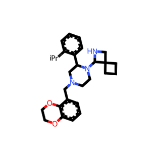 CC(C)c1ccccc1C1CN(Cc2cccc3c2OCCO3)CCN1C1NCC12CCC2